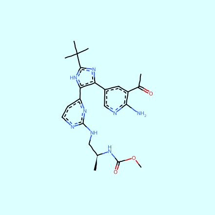 COC(=O)N[C@@H](C)CNc1nccc(-c2[nH]c(C(C)(C)C)nc2-c2cnc(N)c(C(C)=O)c2)n1